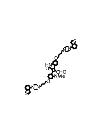 CNc1cc(OCCCCN2CCN(c3cccc4sccc34)CC2)ccc1C1C(C=O)C2c3ccc(OCCCCN4CCN(c5cccc6sccc56)CC4)cc3NC(=O)C12